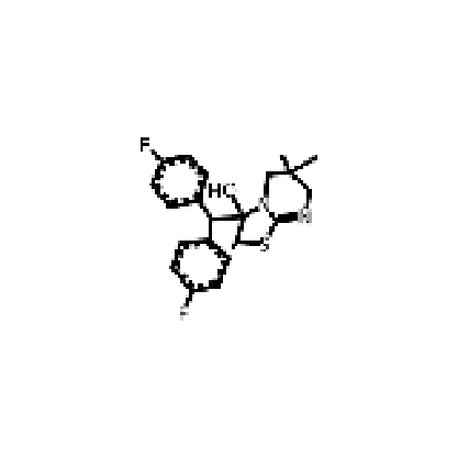 CC1SC2=NCC(C)(C)CN2C1(O)C(c1ccc(F)cc1)c1ccc(F)cc1